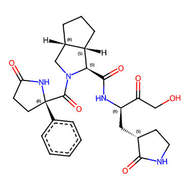 O=C1CC[C@](C(=O)N2C[C@@H]3CCC[C@@H]3[C@H]2C(=O)N[C@H](C[C@@H]2CCNC2=O)C(=O)CO)(c2ccccc2)N1